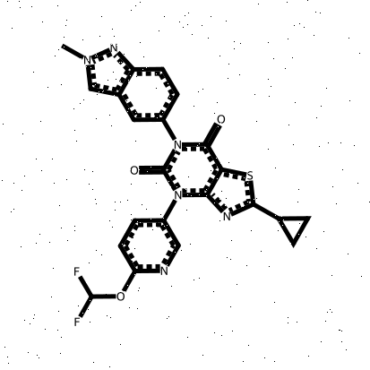 Cn1cc2cc(-n3c(=O)c4sc(C5CC5)nc4n(-c4ccc(OC(F)F)nc4)c3=O)ccc2n1